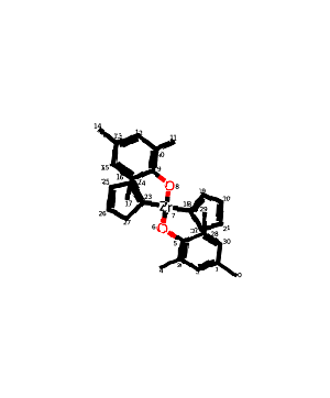 Cc1cc(C)c([O][Zr]([O]c2c(C)cc(C)cc2C)([C]2=CC=CC2)[C]2=CC=CC2)c(C)c1